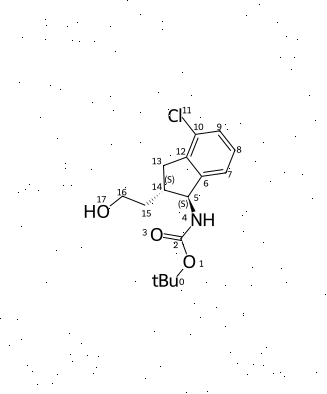 CC(C)(C)OC(=O)N[C@@H]1c2cccc(Cl)c2C[C@H]1CCO